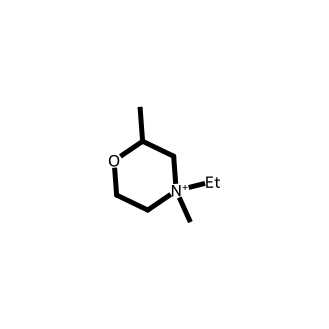 CC[N+]1(C)CCOC(C)C1